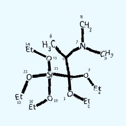 CCOC(OCC)(C(C)N(C)C)[Si](OCC)(OCC)OCC